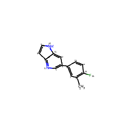 Cc1cc(-c2cnc3cc[nH]c3c2)ccc1F